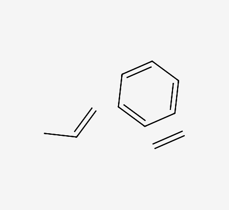 C=C.C=CC.c1ccccc1